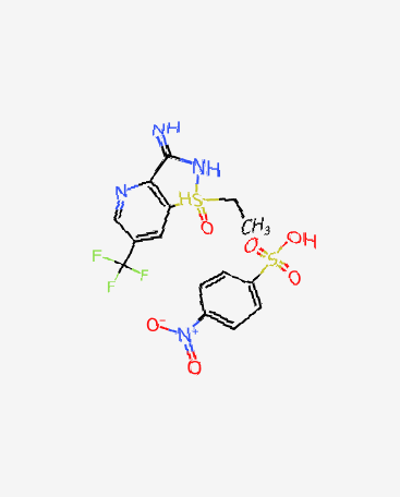 CC[SH]1(=O)NC(=N)c2ncc(C(F)(F)F)cc21.O=[N+]([O-])c1ccc(S(=O)(=O)O)cc1